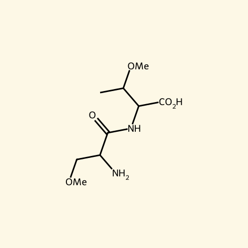 COCC(N)C(=O)NC(C(=O)O)C(C)OC